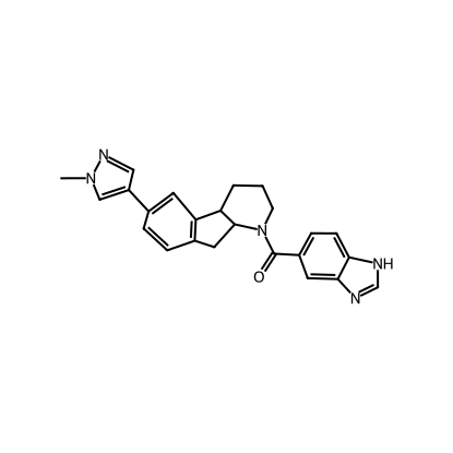 Cn1cc(-c2ccc3c(c2)C2CCCN(C(=O)c4ccc5[nH]cnc5c4)C2C3)cn1